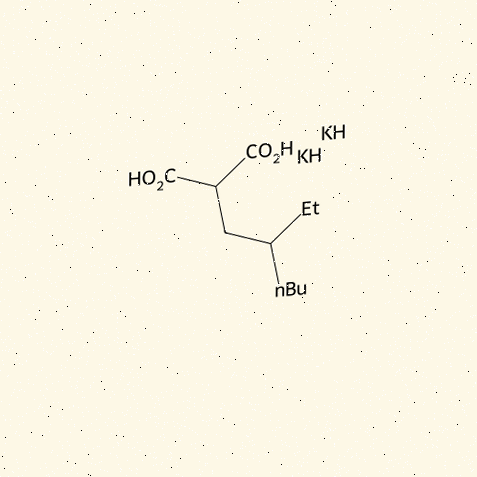 CCCCC(CC)CC(C(=O)O)C(=O)O.[KH].[KH]